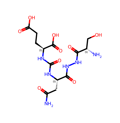 NC(=O)C[C@H](NC(=O)N[C@@H](CCC(=O)O)C(=O)O)C(=O)NNC(=O)[C@@H](N)CO